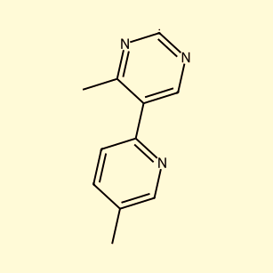 Cc1ccc(-c2cn[c]nc2C)nc1